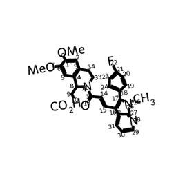 COc1cc2c(cc1OC)C(CC(=O)O)N(C(=O)C=Cc1c(-c3ccc(F)cc3)n(C)c3ncccc13)CC2